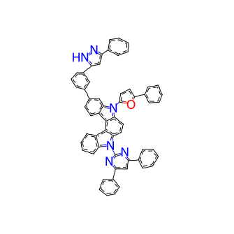 c1ccc(-c2cc(-c3cccc(-c4ccc5c6c7c8ccccc8n(-c8nc(-c9ccccc9)cc(-c9ccccc9)n8)c7ccc6n(-c6ccc(-c7ccccc7)o6)c5c4)c3)[nH]n2)cc1